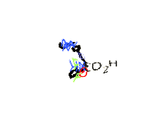 CN(c1ccc(/C=C/CC(NC(=O)c2c(F)cccc2F)C(=O)O)cc1)c1ncccn1